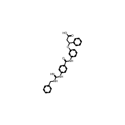 N=C(NCc1ccccc1)Nc1ccc(C(=O)Nc2cccc(OC(CC(=O)O)c3ccccc3)c2)cc1